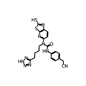 N#CCc1ccc(NC(=O)N(CCCCc2nn[nH]n2)c2ccc3nc(S)sc3n2)cc1